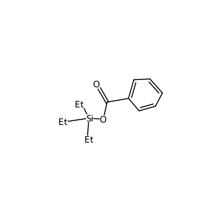 CC[Si](CC)(CC)OC(=O)c1ccccc1